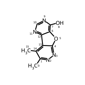 Cc1nnc2oc3c(O)ncnc3c2c1C